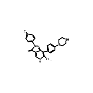 Cc1[nH]cc2c(=O)n(-c3ccc(Cl)cc3)nc-2c1-c1ccc(N2CCNCC2)cc1